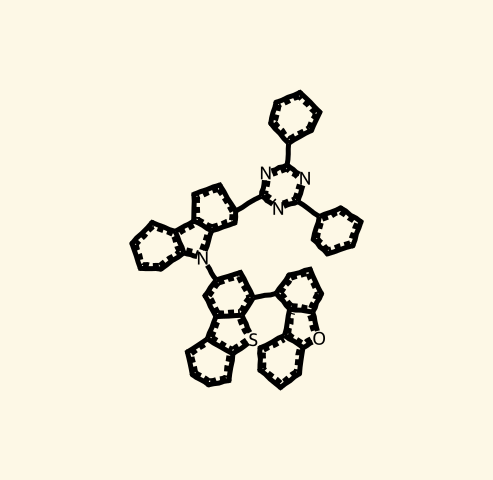 c1ccc(-c2nc(-c3ccccc3)nc(-c3ccc4c5ccccc5n(-c5cc(-c6cccc7oc8ccccc8c67)c6sc7ccccc7c6c5)c4c3)n2)cc1